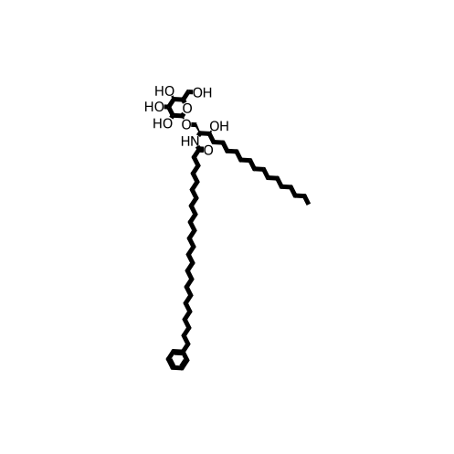 CCCCCCCCCCCCCCC[C@@H](O)[C@H](CO[C@H]1OC(CO)[C@H](O)C(O)C1O)NC(=O)CCCCCCCCCCCCCCCCCCCCCCCCc1ccccc1